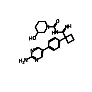 N=C(NC(=O)N1CCCC(O)C1)C1(c2ccc(-c3cnc(N)nc3)cc2)CCC1